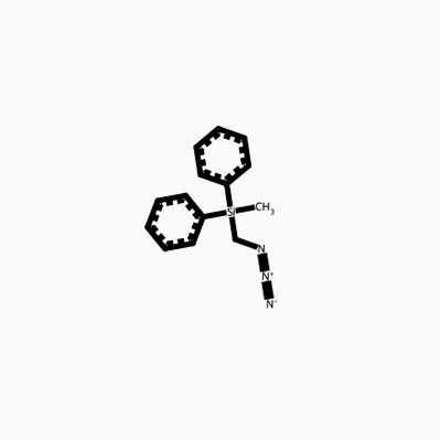 C[Si](CN=[N+]=[N-])(c1ccccc1)c1ccccc1